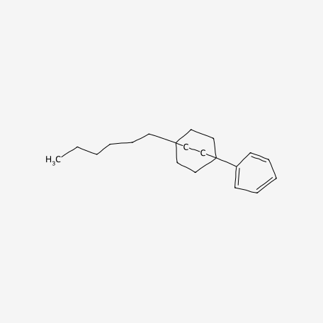 CCCCCCC12CCC(c3ccccc3)(CC1)CC2